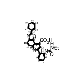 CCNC(=O)Nc1ccccc1-c1cc(C(=O)O)c2c(ccc3nc(-c4ccccc4)oc32)n1